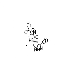 Cc1c(C(=O)Nc2ccc3[nH]nc(-c4ccoc4)c3c2)noc1C(N)=O